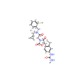 CNC(=O)Nc1ccc2c(c1)CC[C@@]21OC(=O)N(CC(=O)N(Cc2ccccc2F)[C@@H](C)C2CC2)C1=O